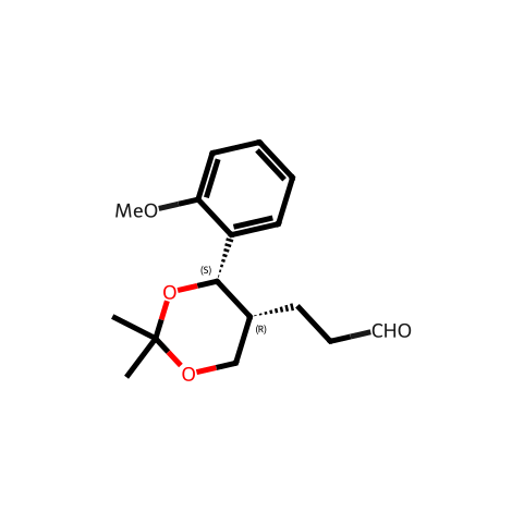 COc1ccccc1[C@H]1OC(C)(C)OC[C@H]1CCC=O